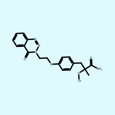 CCOC(C)(Cc1ccc(OCCn2nnc3ccccc3c2=O)cc1)C(N)=O